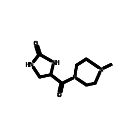 CN1CCN(C(=O)C2CNC(=O)N2)CC1